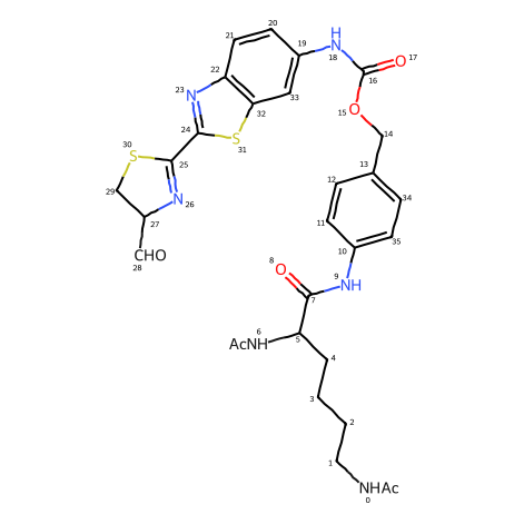 CC(=O)NCCCCC(NC(C)=O)C(=O)Nc1ccc(COC(=O)Nc2ccc3nc(C4=NC(C=O)CS4)sc3c2)cc1